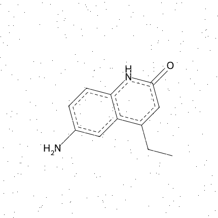 CCc1cc(=O)[nH]c2ccc(N)cc12